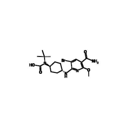 COc1nc(N[C@H]2CC[C@H](N(C(=O)O)C(C)(C)C)CC2)c(Br)cc1C(N)=O